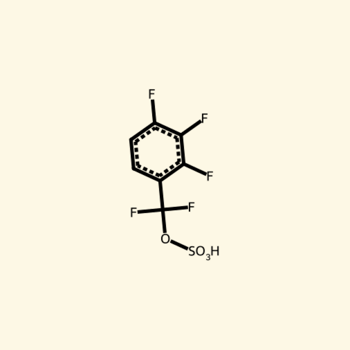 O=S(=O)(O)OC(F)(F)c1ccc(F)c(F)c1F